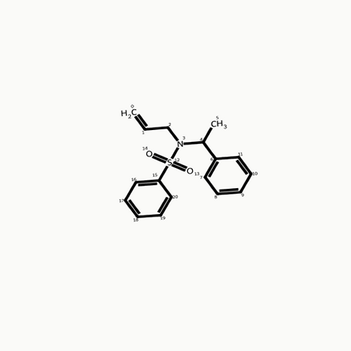 C=CCN(C(C)c1ccccc1)S(=O)(=O)c1ccccc1